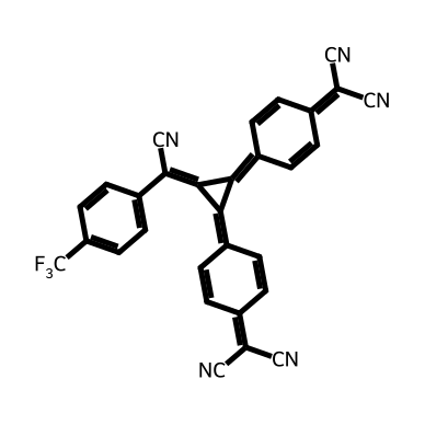 N#CC(=C1C(=c2ccc(=C(C#N)C#N)cc2)C1=c1ccc(=C(C#N)C#N)cc1)c1ccc(C(F)(F)F)cc1